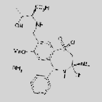 CCCC[C@]1(CC)CS(=O)(=O)c2cc(CN[C@H](C(=O)O)[C@@H](C)O)c(OC)cc2[C@@H](c2ccccc2)N1.N